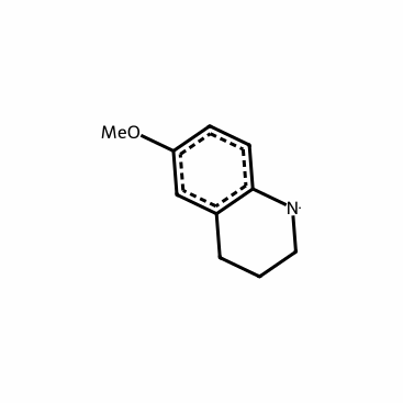 COc1ccc2c(c1)CCC[N]2